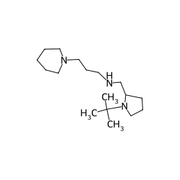 CC(C)(C)N1CCCC1CNCCCN1CCCCC1